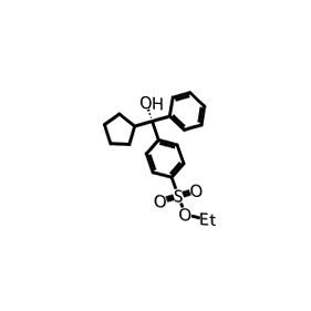 CCOS(=O)(=O)c1ccc([C@](O)(c2ccccc2)C2CCCC2)cc1